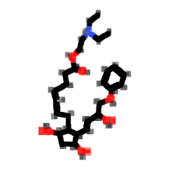 CCN(CC)CCOC(=O)CCC=C=CCC1C(O)CC(O)C1C=CC(O)COc1ccccc1